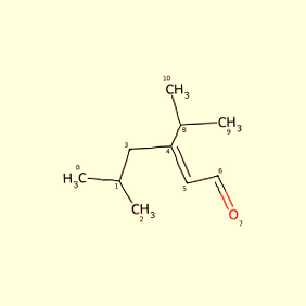 CC(C)CC(=CC=O)C(C)C